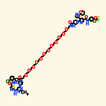 Cc1nc(Nc2ncc(C(=O)Nc3c(C)cccc3Cl)s2)cc(N2CCN(C(=O)CCOCCOCCOCCOCCOCCOCCOCCOCCOCCOCCOCCOCCNC(=O)C3CCN(c4ncc(C(=O)Nc5ccc(OC(F)(F)Cl)cc5)cc4-c4ccnn4C4CCCCO4)CC3)CC2)n1